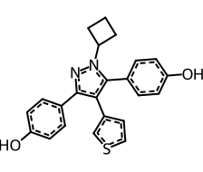 Oc1ccc(-c2nn(C3CCC3)c(-c3ccc(O)cc3)c2-c2ccsc2)cc1